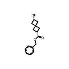 O=C(OCc1ccccc1)[C@H]1CC2(C[C@@H](O)C2)C1